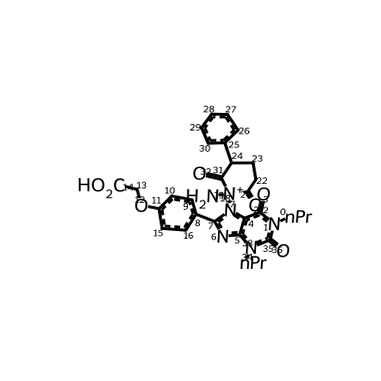 CCCn1c(=O)c2c(nc(-c3ccc(OCC(=O)O)cc3)n2[N+]2(N)C(=O)CCC(c3ccccc3)C2=O)n(CCC)c1=O